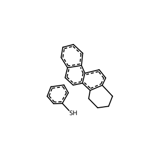 Sc1ccccc1.c1ccc2c(c1)ccc1c3c(ccc12)CCCC3